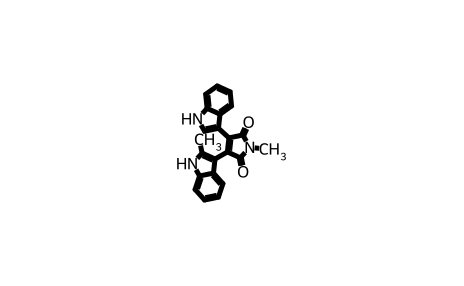 Cc1[nH]c2ccccc2c1C1=C(c2c[nH]c3ccccc23)C(=O)N(C)C1=O